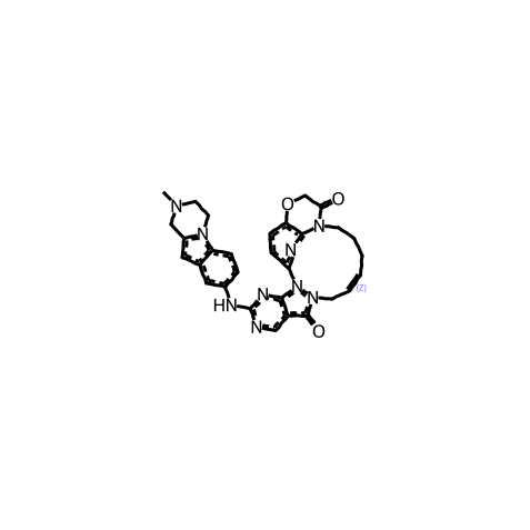 CN1CCn2c(cc3cc(Nc4ncc5c(=O)n6n(c5n4)-c4ccc5c(n4)N(CCC/C=C\C6)C(=O)CO5)ccc32)C1